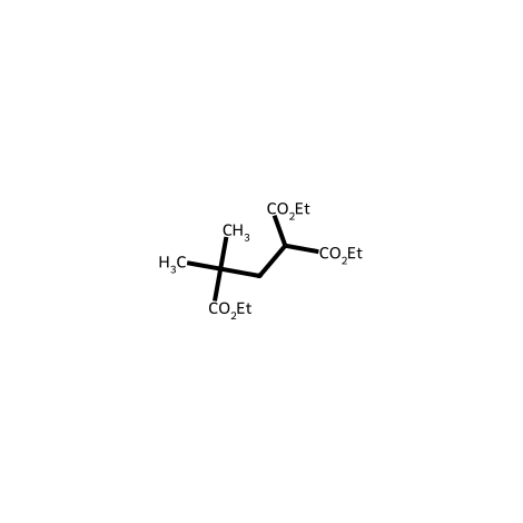 CCOC(=O)C(CC(C)(C)C(=O)OCC)C(=O)OCC